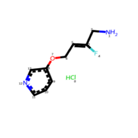 Cl.NC/C(F)=C/COc1cccnc1